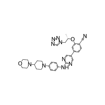 C[C@@H](Cn1cnnn1)Oc1cc(-c2cnc(Nc3ccc(N4CCC(N5CCOCC5)CC4)cc3)nc2)ccc1C#N